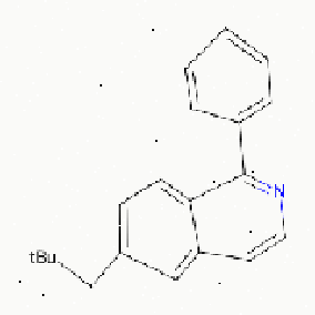 CC(C)(C)Cc1ccc2c(-c3ccccc3)nccc2c1